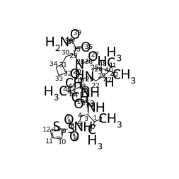 CC(C)[C@@H](CNS(=O)(=O)c1cccs1)NC(=O)N[C@H](C(=O)N1C[C@H]2[C@@H]([C@H]1C(=O)NC(CC1CCC1)C(=O)C(N)=O)C2(C)C)C(C)(C)C